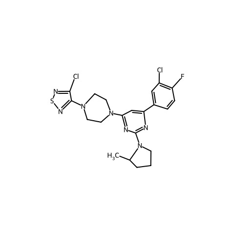 CC1CCCN1c1nc(-c2ccc(F)c(Cl)c2)cc(N2CCN(c3nsnc3Cl)CC2)n1